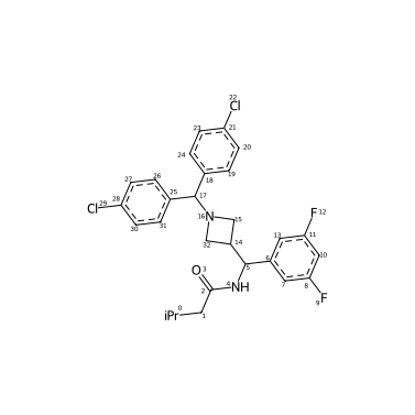 CC(C)CC(=O)NC(c1cc(F)cc(F)c1)C1CN(C(c2ccc(Cl)cc2)c2ccc(Cl)cc2)C1